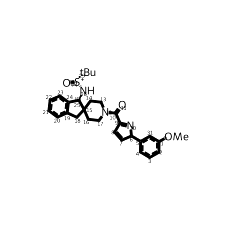 COc1cccc(C2C=CC(C(=O)N3CCC4(CC3)Cc3ccccc3[C@H]4N[S@+]([O-])C(C)(C)C)=N2)c1